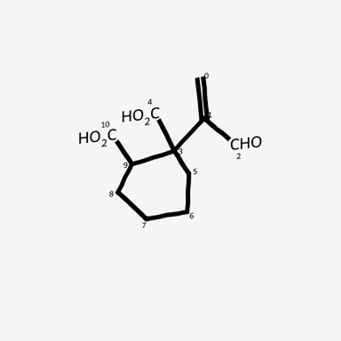 C=C(C=O)C1(C(=O)O)CCCCC1C(=O)O